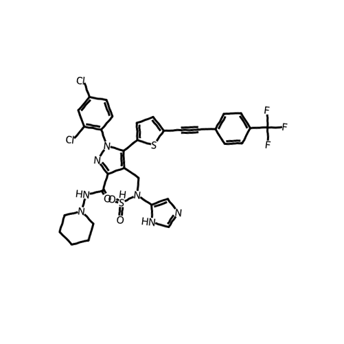 O=C(NN1CCCCC1)c1nn(-c2ccc(Cl)cc2Cl)c(-c2ccc(C#Cc3ccc(C(F)(F)F)cc3)s2)c1CN(c1cnc[nH]1)[SH](=O)=O